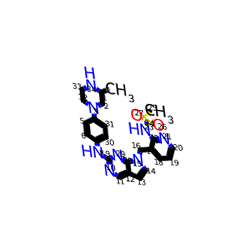 CC1CN(c2ccc(Nc3ncc4ccn(Cc5cccnc5NS(C)(=O)=O)c4n3)cc2)CCN1